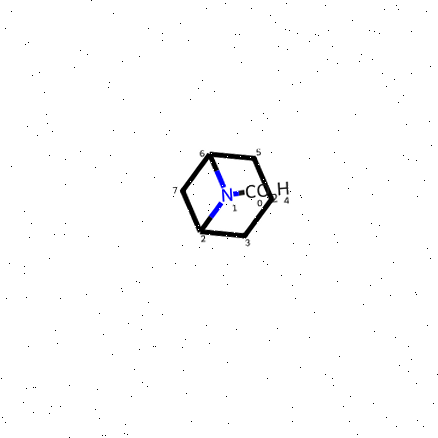 O=C(O)N1C2CCCC1C2